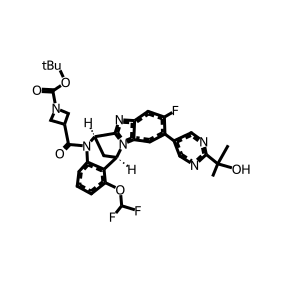 CC(C)(C)OC(=O)N1CC(C(=O)N2c3cccc(OC(F)F)c3[C@H]3C[C@@H]2c2nc4cc(F)c(-c5cnc(C(C)(C)O)nc5)cc4n23)C1